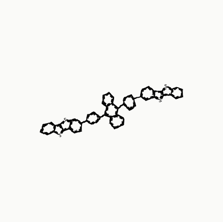 c1ccc2c(c1)sc1c3ccc(-c4ccc(-c5c6ccccc6c(-c6ccc(-c7ccc8c(c7)sc7c9ccccc9sc87)cc6)c6ccccc56)cc4)cc3sc21